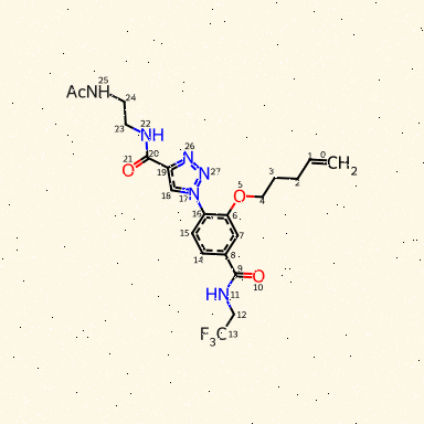 C=CCCCOc1cc(C(=O)NCC(F)(F)F)ccc1-n1cc(C(=O)NCCNC(C)=O)nn1